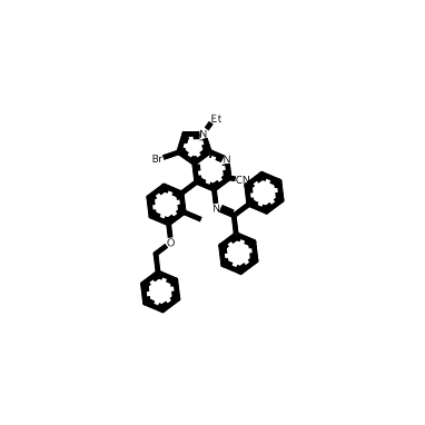 CCn1cc(Br)c2c(-c3cccc(OCc4ccccc4)c3C)c(N=C(c3ccccc3)c3ccccc3)c(C#N)nc21